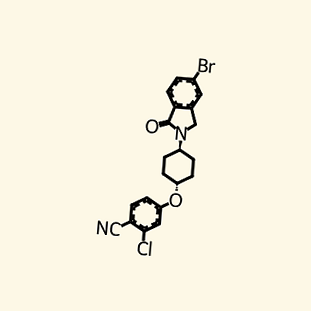 N#Cc1ccc(O[C@H]2CC[C@H](N3Cc4cc(Br)ccc4C3=O)CC2)cc1Cl